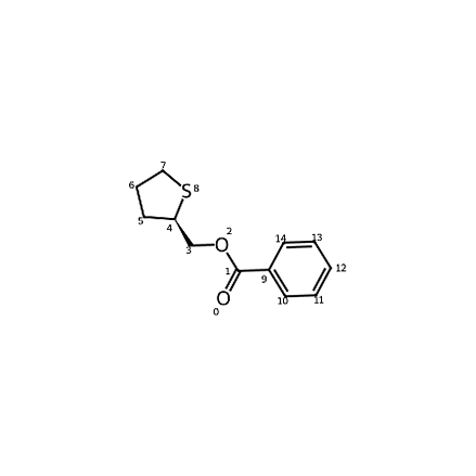 O=C(OC[C@H]1CCCS1)c1ccccc1